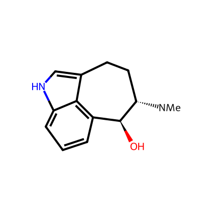 CN[C@H]1CCc2c[nH]c3cccc(c23)[C@@H]1O